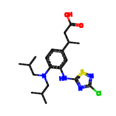 CC(C)CN(CC(C)C)c1ccc(C(C)CC(=O)O)cc1Nc1nc(Cl)ns1